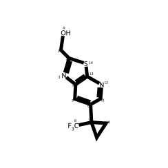 OCc1nc2cc(C3(C(F)(F)F)CC3)cnc2s1